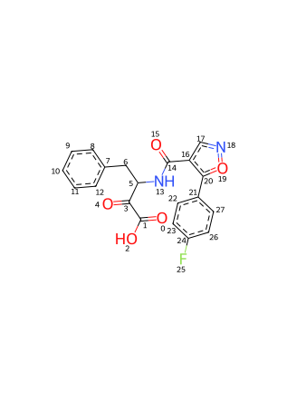 O=C(O)C(=O)C(Cc1ccccc1)NC(=O)c1cnoc1-c1ccc(F)cc1